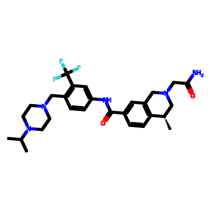 CC(C)N1CCN(Cc2ccc(NC(=O)c3ccc4c(c3)CN(CC(N)=O)C[C@@H]4C)cc2C(F)(F)F)CC1